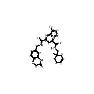 CC1(CNC(=O)c2cc(C(=O)NCc3ccc4c(c3)NC(=O)CO4)nc3c(F)cnn23)CC=CCC1